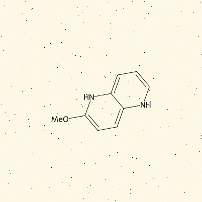 COC1=CC=C2NC=C[C]=C2N1